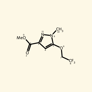 COC(=O)c1cc(OCC(F)(F)F)n(C)n1